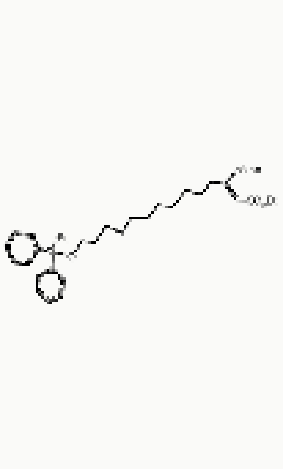 CCCCCCCCCC(=CC(=O)OCC)CCCCCCCCCCCO[Si](c1ccccc1)(c1ccccc1)C(C)(C)C